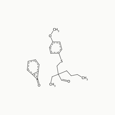 CCCCC(C=O)(CC)CSc1ccc(OC)cc1.O=c1c2ccccc12